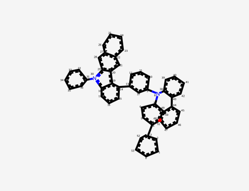 c1ccc(-c2ccc(N(c3cccc(-c4cccc5c4c4cc6ccccc6cc4n5-c4ccccc4)c3)c3ccccc3-c3ccccc3)cc2)cc1